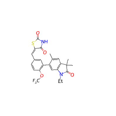 CCN1C(=O)C(C)(C)c2cc(C)c(-c3cc(C=C4SC(=O)NC4=O)ccc3OC(F)(F)F)cc21